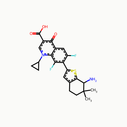 CC1(C)CCc2cc(-c3c(F)cc4c(=O)c(C(=O)O)cn(C5CC5)c4c3F)sc2C1N